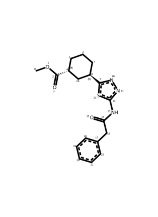 COC(=O)[C@@H]1CCC[C@@H](c2nnc(NC(=O)Cc3ccccc3)s2)C1